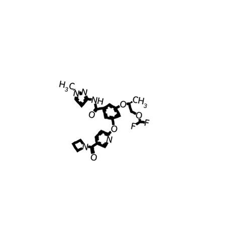 C[C@@H](COC(F)F)Oc1cc(Oc2ccc(C(=O)N3CCC3)cn2)cc(C(=O)Nc2ccn(C)n2)c1